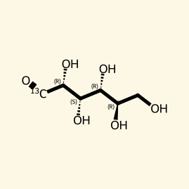 O=[13CH][C@H](O)[C@@H](O)[C@H](O)[C@H](O)CO